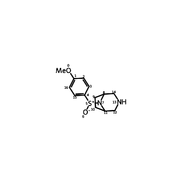 COc1ccc([S+]([O-])N2C3CCC2CNC3)cc1